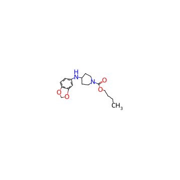 CCCCOC(=O)N1CCC(Nc2ccc3c(c2)OCO3)CC1